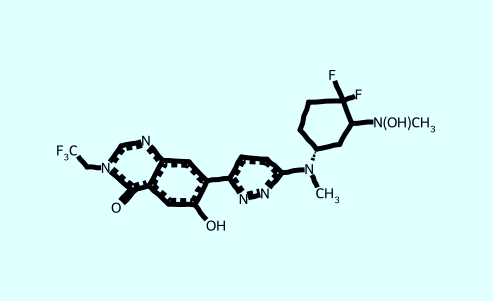 CN(O)C1C[C@H](N(C)c2ccc(-c3cc4ncn(CC(F)(F)F)c(=O)c4cc3O)nn2)CCC1(F)F